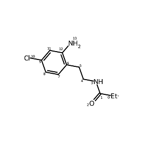 C[CH]C(=O)NCCc1ccc(Cl)cc1N